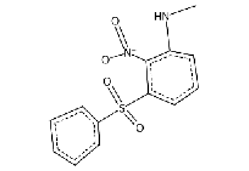 CNc1cccc(S(=O)(=O)c2ccccc2)c1[N+](=O)[O-]